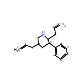 C=CCC1CNC(CC=C)C(c2ccccc2)C1